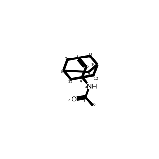 CC(=O)NC12C=C3CC(CC(C3)C1)C2